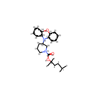 CC(C)CCC(C)(C)OC(=O)N1CCCC(N2c3ccccc3Oc3ccccc32)C1